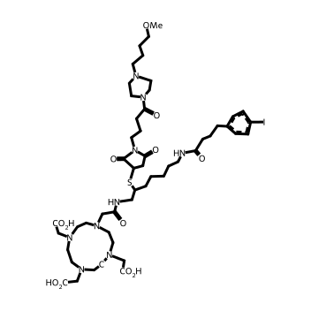 COCCCCN1CCN(C(=O)CCCN2C(=O)CC(SC(CCCCCNC(=O)CCCc3ccc(I)cc3)CNC(=O)CN3CCN(CC(=O)O)CCN(CC(=O)O)CCN(CC(=O)O)CC3)C2=O)CC1